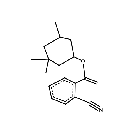 C=C(OC1CC(C)CC(C)(C)C1)c1ccccc1C#N